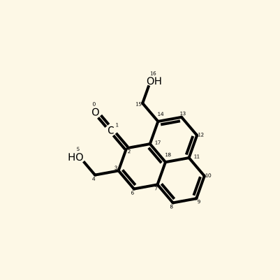 O=C=c1c(CO)cc2cccc3ccc(CO)c1c32